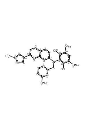 COc1ccnc(CN(c2ccc3ncc(-c4cnn(C)c4)nc3c2)c2c(Cl)c(OC)cc(OC)c2Cl)n1